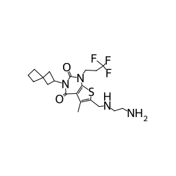 Cc1c(CNCCN)sc2c1c(=O)n(C1CC3(CCC3)C1)c(=O)n2CCC(F)(F)F